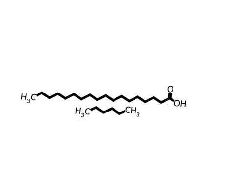 CCCCCC.CCCCCCCCCCCCCCCCCC(=O)O